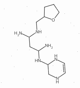 NC(CC(N)NC1CNC=CN1)NCC1CCCO1